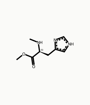 CN[C@@H](Cc1c[nH]cn1)C(=O)OC